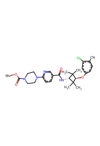 CC(C)(C)OC(=O)N1CCN(c2ccc(C(=O)N[C@H]3C(C)(C)[C@H](Oc4ccc(C#N)c(Cl)c4)C3(C)C)cn2)CC1